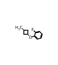 C[C@H]1C[C@@H](Oc2ccccc2F)C1